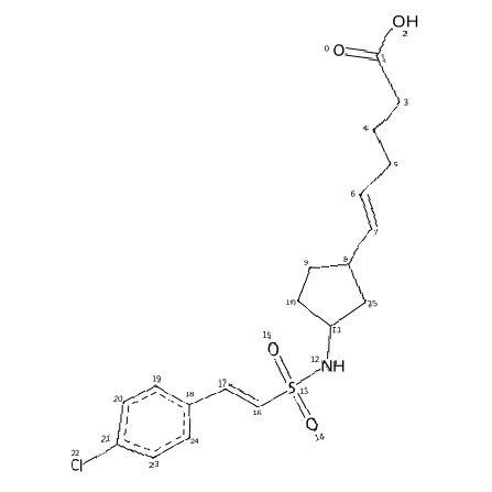 O=C(O)CCC/C=C/C1CCC(NS(=O)(=O)/C=C/c2ccc(Cl)cc2)C1